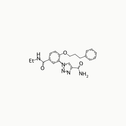 CCNC(=O)c1ccc(OCCCc2ccccc2)c(-n2cc(C(N)=O)nn2)c1